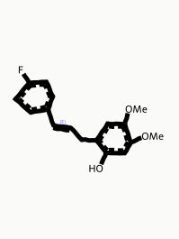 COc1cc(O)c(C/C=C/c2ccc(F)cc2)cc1OC